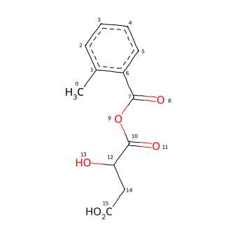 Cc1ccccc1C(=O)OC(=O)C(O)CC(=O)O